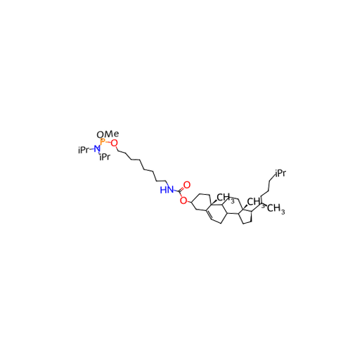 COP(OCCCCCCCCNC(=O)OC1CC[C@@]2(C)C(=CCC3C2CC[C@@]2(C)C3CC[C@@H]2[C@H](C)CCCC(C)C)C1)N(C(C)C)C(C)C